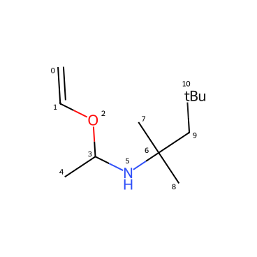 C=COC(C)NC(C)(C)CC(C)(C)C